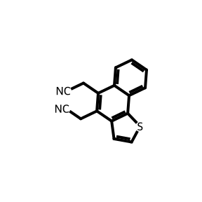 N#CCc1c(CC#N)c2ccsc2c2ccccc12